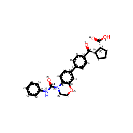 O=C(O)[C@@H]1CCC[C@H]1C(=O)c1ccc(-c2ccc3c(c2)OCCN3C(=O)Nc2ccccc2)cc1